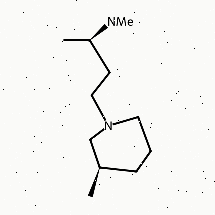 CN[C@H](C)CCN1CCC[C@@H](C)C1